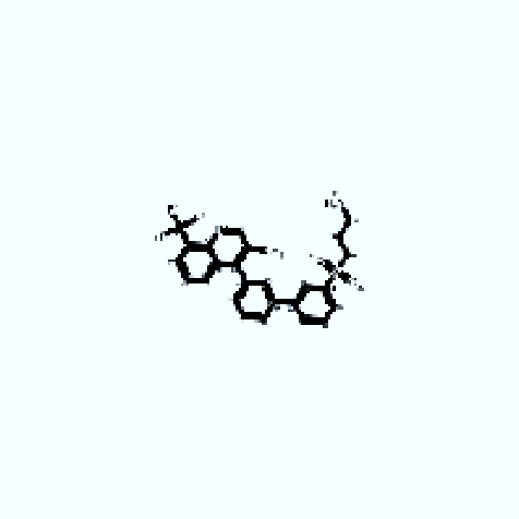 Cc1cnc2c(C(F)(F)F)cccc2c1-c1cccc(-c2cccc(S(=O)(=O)CCCN)c2)c1